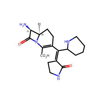 N[C@@H]1C(=O)N2C(C(=O)O)=C(C(=C3CCNC3=O)C3CCCCN3)CC[C@H]12